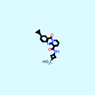 O=C(NC1CC(C(=O)O)C1)c1cccn2c(=O)c3c(nc12)C=CC(C1CC1)C3